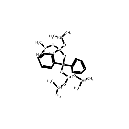 C[SiH](C)O[SiH](O[SiH](C)C)O[Si](O[Si](C)(O[SiH](C)C)O[SiH](C)C)(c1ccccc1)c1ccccc1